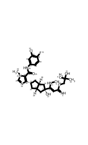 CN/C(=C\C(=N)OCC(C)(C)O)[C@]1(O)C[C@H]2C[C@@H](c3ncn(C)c3C(=O)Nc3ccc(F)c(Cl)c3)C[C@H]2C1